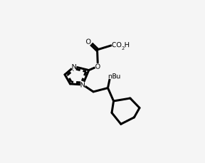 CCCCC(Cn1ccnc1OC(=O)C(=O)O)C1CCCCC1